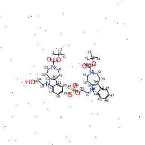 CC(C)(C)OC(=O)N1CCc2c(n(CCO)c3ccccc23)CC1.CC(C)(C)OC(=O)N1CCc2c(n(CCOS(C)(=O)=O)c3ccccc23)CC1